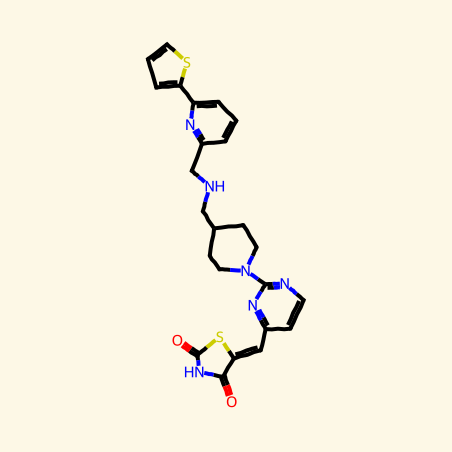 O=C1NC(=O)C(=Cc2ccnc(N3CCC(CNCc4cccc(-c5cccs5)n4)CC3)n2)S1